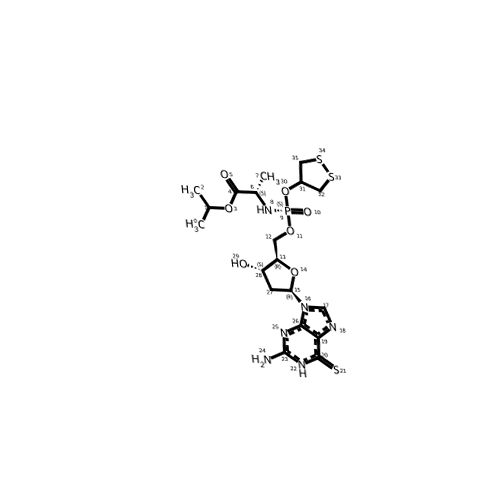 CC(C)OC(=O)[C@H](C)N[P@](=O)(OC[C@H]1O[C@@H](n2cnc3c(=S)[nH]c(N)nc32)C[C@@H]1O)OC1CSSC1